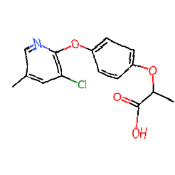 Cc1cnc(Oc2ccc(OC(C)C(=O)O)cc2)c(Cl)c1